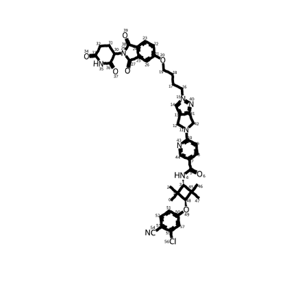 CC1(C)[C@H](NC(=O)c2ccc(N3Cc4cn(CCCCOc5ccc6c(c5)C(=O)N(C5CCC(=O)NC5=O)C6=O)nc4C3)nc2)C(C)(C)[C@H]1Oc1ccc(C#N)c(Cl)c1